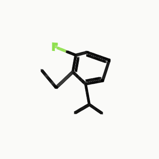 CCc1c(F)cccc1C(C)C